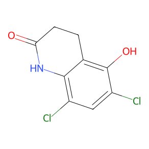 O=C1CCc2c(O)c(Cl)cc(Cl)c2N1